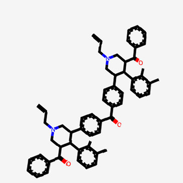 C=CCN1CC(C(=O)c2ccccc2)C(c2cccc(C)c2C)C(c2ccc(C(=O)c3ccc(C4CN(CC=C)CC(C(=O)c5ccccc5)C4c4cccc(C)c4C)cc3)cc2)C1